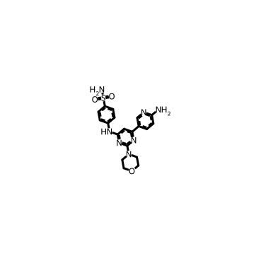 Nc1ccc(-c2cc(Nc3ccc(S(N)(=O)=O)cc3)nc(N3CCOCC3)n2)cn1